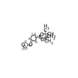 CC1(C)OB(c2cccc(OC3CCOC3)c2)OC1(C)C